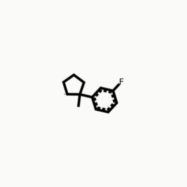 CC1(c2cccc(F)c2)[CH]CCC1